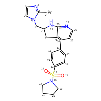 CC(C)c1nccn1CC1Cc2c(-c3ccc(S(=O)(=O)N4CCCC4)cc3)ccnc2N1